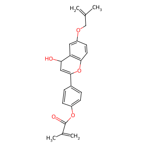 C=C(C)COc1ccc2c(c1)C(O)C=C(c1ccc(OC(=O)C(=C)C)cc1)O2